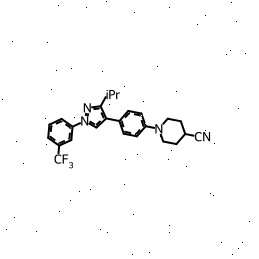 CC(C)c1nn(-c2cccc(C(F)(F)F)c2)cc1-c1ccc(N2CCC(C#N)CC2)cc1